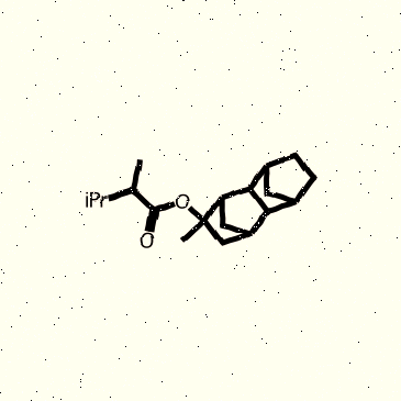 CC(C)C(C)C(=O)OC1(C)CC2CC1C1C3CCC(C3)C21